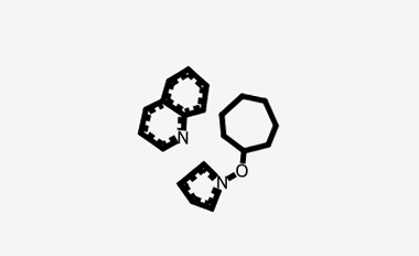 c1ccc2ncccc2c1.c1ccn(OC2CCCCCC2)c1